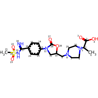 CC(C(=O)O)N1CCN(CC2CN(c3ccc(C(=N)NS(C)(=O)=O)cc3)C(=O)O2)CC1